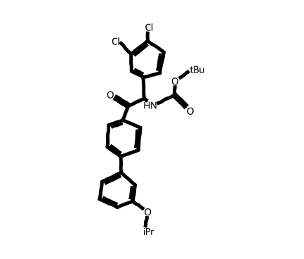 CC(C)Oc1cccc(-c2ccc(C(=O)C(NC(=O)OC(C)(C)C)c3ccc(Cl)c(Cl)c3)cc2)c1